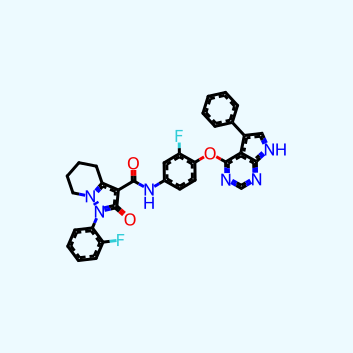 O=C(Nc1ccc(Oc2ncnc3[nH]cc(-c4ccccc4)c23)c(F)c1)c1c2n(n(-c3ccccc3F)c1=O)CCCC2